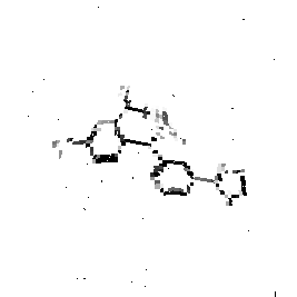 CC(c1cccc(-c2nccs2)c1)c1ccc(C(F)(F)F)cc1C(N)=O